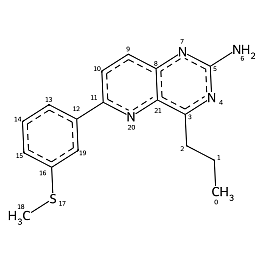 CCCc1nc(N)nc2ccc(-c3cccc(SC)c3)nc12